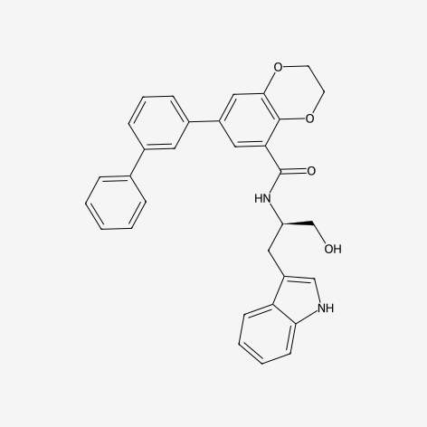 O=C(N[C@@H](CO)Cc1c[nH]c2ccccc12)c1cc(-c2cccc(-c3ccccc3)c2)cc2c1OCCO2